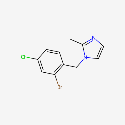 Cc1nccn1Cc1ccc(Cl)cc1Br